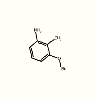 CCC(C)Oc1cccc(N)c1C